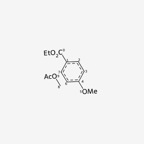 CCOC(=O)c1ccc(OC)cc1.COC(C)=O